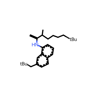 C=C(Nc1cccc2ccc(CC(C)(C)C)cc12)C(C)CCCCC(C)(C)C